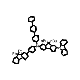 CCCCC1(CCCC)c2cc(N(c3ccc(-c4ccc(-c5ccccc5)cc4)cc3)c3ccc(-c4ccc5c(c4)C(CC)(CC)c4ccccc4-5)cc3)ccc2-c2ccc(-n3c4ccccc4c4ccccc43)cc21